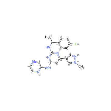 CC(Nc1nc(Nc2cnccn2)cc(-c2cnn(C)c2)n1)c1ccc(F)cc1